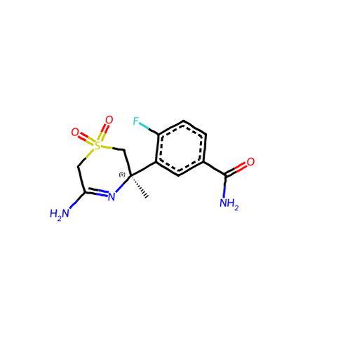 C[C@@]1(c2cc(C(N)=O)ccc2F)CS(=O)(=O)CC(N)=N1